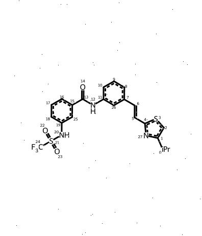 CC(C)c1csc(C=Cc2cccc(NC(=O)c3cccc(NS(=O)(=O)C(F)(F)F)c3)c2)n1